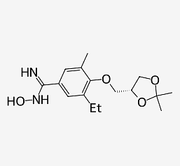 CCc1cc(C(=N)NO)cc(C)c1OC[C@@H]1COC(C)(C)O1